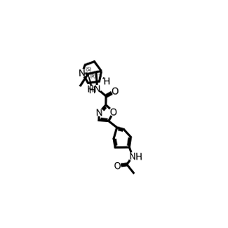 CC(=O)Nc1ccc(-c2cnc(C(=O)N[C@@H]3C4CCN(CC4)[C@H]3C)o2)cc1